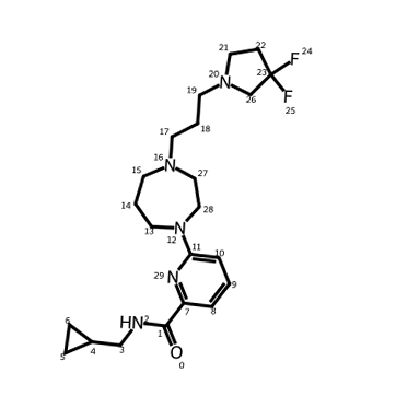 O=C(NCC1CC1)c1cccc(N2CCCN(CCCN3CCC(F)(F)C3)CC2)n1